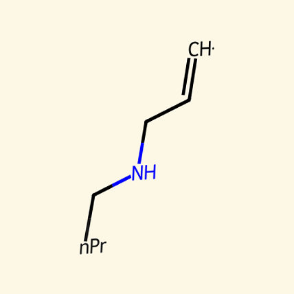 [CH]=CCNCCCC